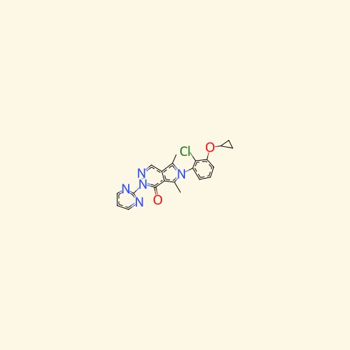 Cc1c2cnn(-c3ncccn3)c(=O)c2c(C)n1-c1cccc(OC2CC2)c1Cl